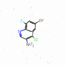 O=[N+]([O-])c1cnc2c(F)cc(Br)cc2c1Cl